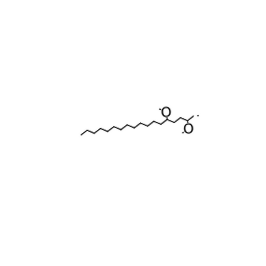 [CH2]C(CCC(CCCCCCCCCCCCC)OC)OC